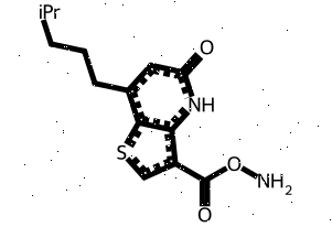 CC(C)CCCc1cc(=O)[nH]c2c(C(=O)ON)csc12